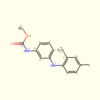 Cc1ccc(Nc2cccc(NC(=O)OC(C)(C)C)c2)c([N+](=O)[O-])c1